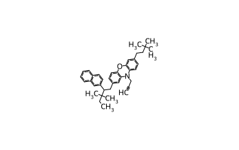 C#CCN1c2ccc(CCC(C)(C)C)cc2Oc2ccc(CC(c3ccc4ccccc4c3)C(C)(C)CC)cc21